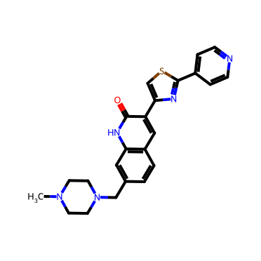 CN1CCN(Cc2ccc3cc(-c4csc(-c5ccncc5)n4)c(=O)[nH]c3c2)CC1